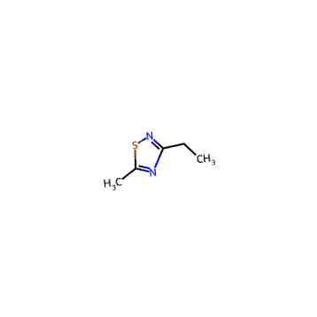 CCc1nsc(C)n1